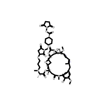 COc1cc2cc(c1Cl)N(C)C(=O)C[C@H](OC(=O)[C@H](C)N(C)CCCSC1CC(=O)N(C[C@H]3CC[C@H](C(=O)ON4C(=O)CCC4=O)CC3)C1=O)[C@@]1(C)CC(C)(O1)[C@@H]1C[C@@](O)(NC(=O)O1)[C@H](OC)/C=C/C=C(\C)C2